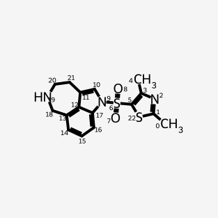 Cc1nc(C)c(S(=O)(=O)n2cc3c4c(cccc42)CNCC3)s1